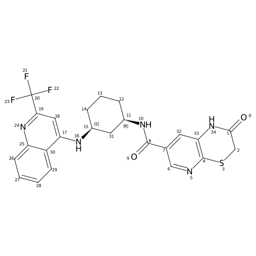 O=C1CSc2ncc(C(=O)N[C@@H]3CCC[C@H](Nc4cc(C(F)(F)F)nc5ccccc45)C3)cc2N1